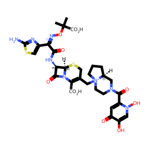 CC(C)(O/N=C(\C(=O)N[C@@H]1C(=O)N2C(C(=O)O)=C(C[N+]34CCC[C@H]3CN(C(=O)c3cc(=O)c(O)cn3O)CC4)CS[C@H]12)c1csc(N)n1)C(=O)O